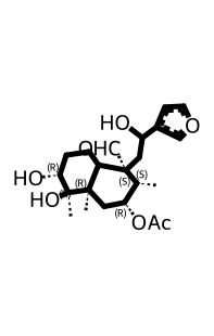 CC(=O)O[C@@H]1C[C@]2(C)C(CC[C@@H](O)[C@]2(C)O)[C@@](C=O)(CC(O)c2ccoc2)[C@@H]1C